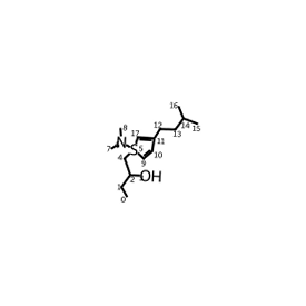 CCC(O)CS1(N(C)C)C=CC(CCC(C)C)=C1